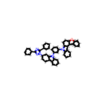 c1ccc(-c2nc(-c3ccccc3)n(-c3ccc4c5ccccc5n(-c5cccc(-n6c7ccccc7c7c8c(ccc76)oc6ccccc68)c5)c4c3)n2)cc1